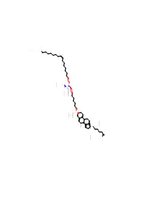 CCCCCCCC/C=C\CCCCCCCCOC[C@H](COCCCCCCCO[C@H]1CC[C@@]2(C)C(=CC[C@H]3[C@@H]4CC[C@H](CCCCCC(C)C)[C@@]4(C)CC[C@@H]32)C1)NC